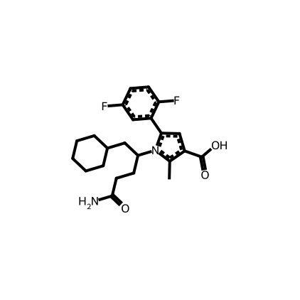 Cc1c(C(=O)O)cc(-c2cc(F)ccc2F)n1C(CCC(N)=O)CC1CCCCC1